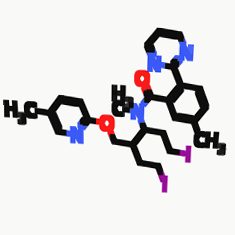 Cc1ccc(OCC(CCI)C(CCI)N(C)C(=O)c2cc(C)ccc2-c2ncccn2)nc1